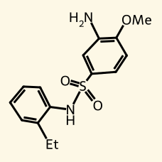 CCc1ccccc1NS(=O)(=O)c1ccc(OC)c(N)c1